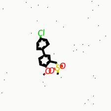 COc1ccc(-c2ccc(Cl)cc2)cc1CS(C)(=O)=O